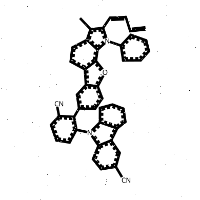 C=C/C=C\c1c(C)c2ccc3c4cc(-c5c(C#N)cccc5-n5c6ccccc6c6cc(C#N)ccc65)ccc4oc3c2n1-c1ccccc1